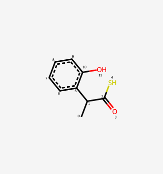 CC(C(=O)S)c1ccccc1O